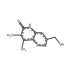 Cc1c(C)c2ncc(CO)cc2[nH]c1=O